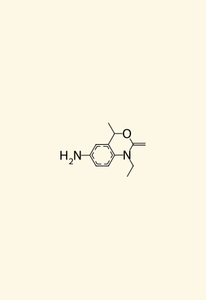 C=C1OC(C)c2cc(N)ccc2N1CC